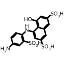 Nc1ccc(Nc2cc(S(=O)(=O)O)cc3cc(S(=O)(=O)O)cc(O)c23)c(S(=O)(=O)O)c1